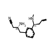 C=CC[C@H](NC)c1cccc(C[C@@H](N)CC#N)c1